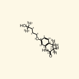 [2H]C([2H])(O)CCCOc1ccc2c(c1)NC(=O)C([2H])([2H])C2([2H])[2H]